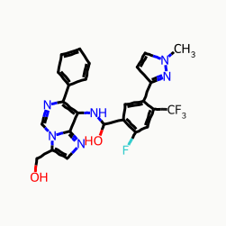 Cn1ccc(-c2cc(C(O)Nc3c(-c4ccccc4)ncn4c(CO)cnc34)c(F)cc2C(F)(F)F)n1